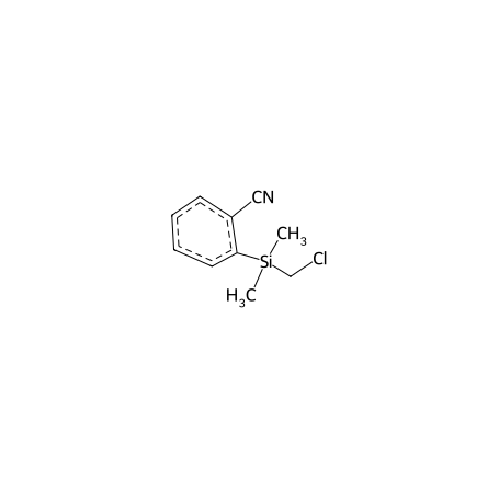 C[Si](C)(CCl)c1ccccc1C#N